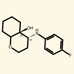 O[C@]12CCCCC1OCC[C@H]2Nc1ccc(F)cc1